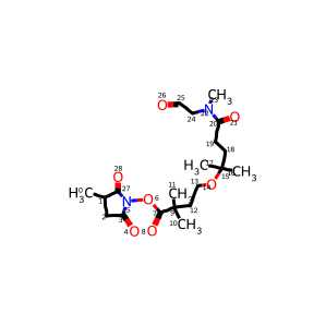 CC1CC(=O)N(OC(=O)C(C)(C)CCOC(C)(C)CCC(=O)N(C)CC=O)C1=O